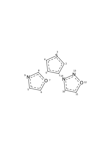 c1ccsc1.c1cocn1.c1conn1